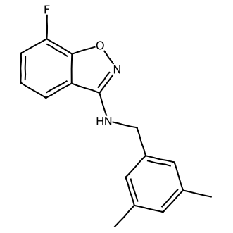 Cc1cc(C)cc(CNc2noc3c(F)cccc23)c1